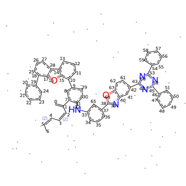 C=C(/C=C\C=C/C)c1cc(-c2cccc3c2oc2c(-c4ccccc4)cccc23)ccc1Nc1cccc(-c2nc3cc(-c4nc(-c5ccccc5)nc(-c5ccccc5)n4)ccc3o2)c1